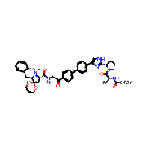 COC(=O)N[C@H](C(=O)N1CCC[C@H]1c1nc(-c2ccc(-c3ccc(C(=O)CNC(=O)[C@@H]4CC5(OCCCO5)C(Cc5ccccc5)N4C(=O)O)cc3)cc2)c[nH]1)C(C)C